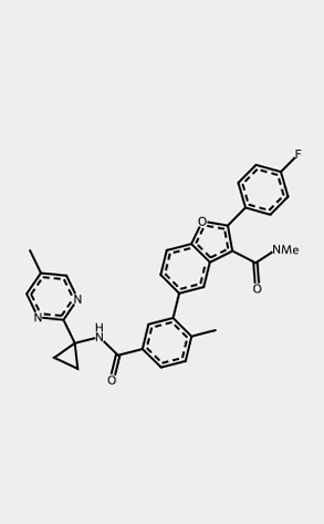 CNC(=O)c1c(-c2ccc(F)cc2)oc2ccc(-c3cc(C(=O)NC4(c5ncc(C)cn5)CC4)ccc3C)cc12